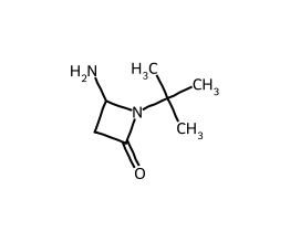 CC(C)(C)N1C(=O)CC1N